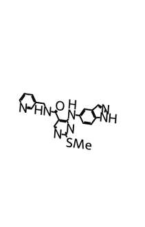 CSc1ncc(C(=O)NCc2cccnc2)c(Nc2ccc3[nH]ncc3c2)n1